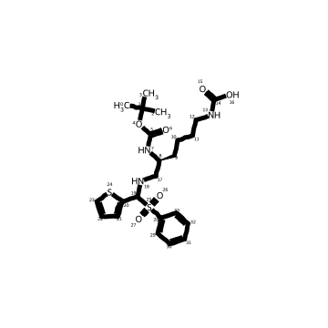 CC(C)(C)OC(=O)N[C@@H](CCCCNC(=O)O)CNC(c1cccs1)S(=O)(=O)c1ccccc1